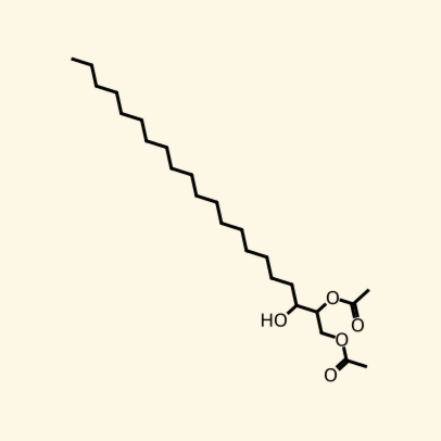 CCCCCCCCCCCCCCCCCCC(O)C(COC(C)=O)OC(C)=O